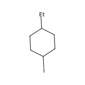 CCC1CCC(I)CC1